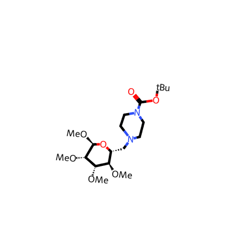 CO[C@H]1O[C@H](CN2CCN(C(=O)OC(C)(C)C)CC2)[C@@H](OC)[C@H](OC)[C@@H]1OC